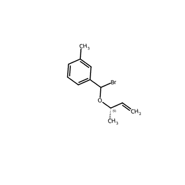 C=C[C@H](C)OC(Br)c1cccc(C)c1